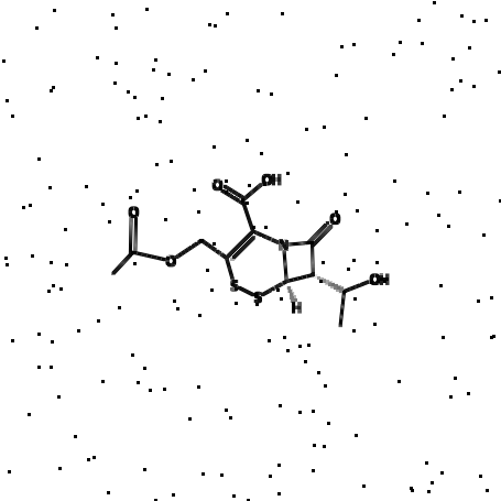 CC(=O)OCC1=C(C(=O)O)N2C(=O)[C@H](C(C)O)[C@H]2SS1